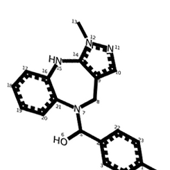 Cc1ccc(C(O)N2Cc3cnn(C)c3Nc3ccccc32)cc1